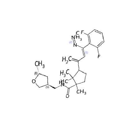 C=C(/C=C(\N=N/C)c1c(F)cccc1F)C1CCC(C)(C(=O)NC[C@H]2CO[C@H](C)C2)C1(C)C